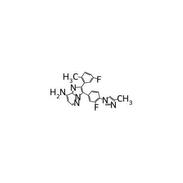 Cc1cn(-c2ccc(-c3c(-c4cc(F)ccc4C)nc4c(N)ccnn34)cc2F)cn1